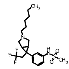 CCCCCCN1CC2C(C1)C2(CC(F)(F)F)c1cccc(NS(C)(=O)=O)c1